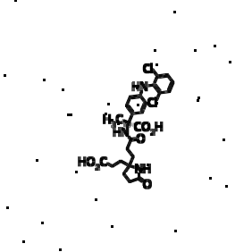 C[C@@](NC(=O)CCC1(CCC(=O)O)CCC(=O)N1)(C(=O)O)c1ccc(Nc2c(Cl)cccc2Cl)cc1